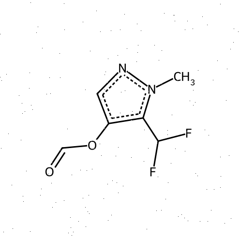 Cn1ncc(OC=O)c1C(F)F